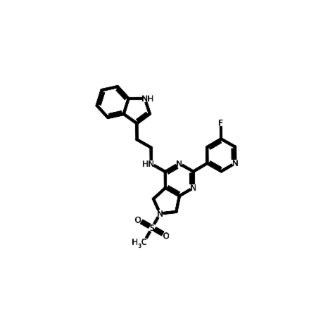 CS(=O)(=O)N1Cc2nc(-c3cncc(F)c3)nc(NCCc3c[nH]c4ccccc34)c2C1